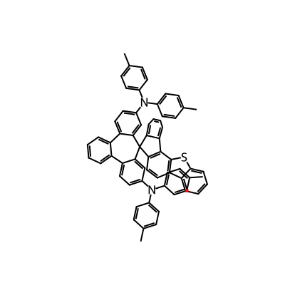 Cc1ccc(N(c2ccc(C)cc2)c2ccc3c(c2)C2(c4cc(N(c5ccc(C)cc5)c5ccc(C)cc5)ccc4-c4ccccc4-3)c3ccccc3-c3c2ccc2c3sc3ccccc32)cc1